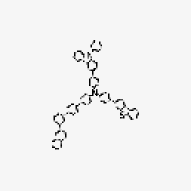 c1ccc(-n2c3ccccc3c3cc(-c4ccc(N(c5ccc(-c6ccc(-c7cccc(-c8ccc9ccccc9c8)c7)cc6)cc5)c5ccc(-c6ccc7c(c6)sc6ccccc67)cc5)cc4)ccc32)cc1